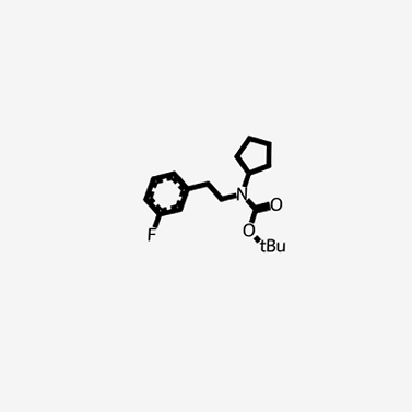 CC(C)(C)OC(=O)N(CCc1cccc(F)c1)C1CCCC1